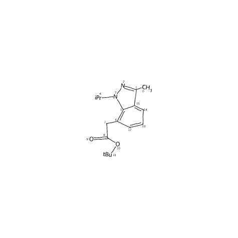 Cc1nn(C(C)C)c2c(CC(=O)OC(C)(C)C)cccc12